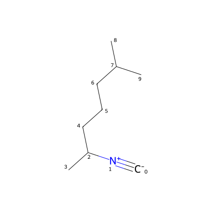 [C-]#[N+]C(C)CCCC(C)C